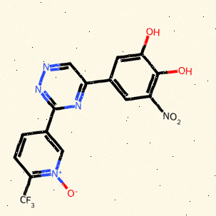 O=[N+]([O-])c1cc(-c2cnnc(-c3ccc(C(F)(F)F)[n+]([O-])c3)n2)cc(O)c1O